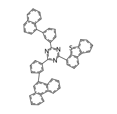 c1cc(-c2nc(-c3cccc(-c4cc5ccccc5c5ccccc45)c3)nc(-c3cccc4c3sc3ccccc34)n2)cc(-c2cccc3ccccc23)c1